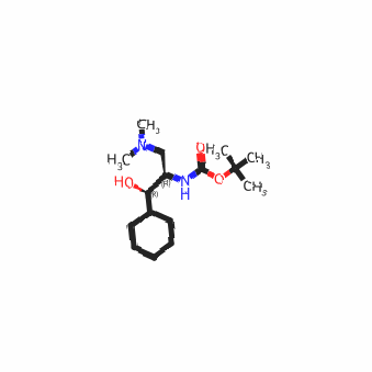 CN(C)C[C@@H](NC(=O)OC(C)(C)C)[C@H](O)C1CCCCC1